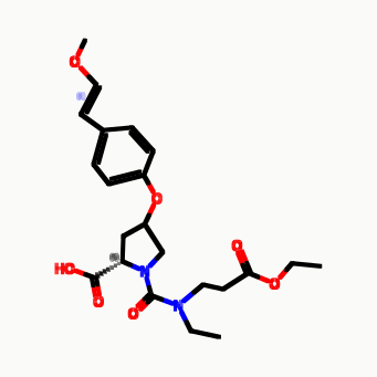 CCOC(=O)CCN(CC)C(=O)N1CC(Oc2ccc(/C=C/OC)cc2)C[C@H]1C(=O)O